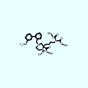 CCOP1(=O)CCN(Cc2ccccc2-c2cccc(OC(F)(F)F)c2)CC1(CCCCN(C(=O)OC(C)(C)C)C(=O)OC(C)(C)C)C(=O)OC(C)(C)C